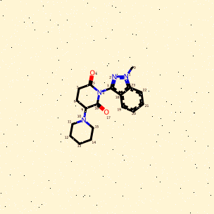 Cn1nc(N2C(=O)CCC(N3CCCCC3)C2=O)c2ccccc21